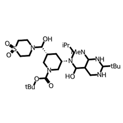 CNC1NC(C(C)(C)C)NCC1C(O)N(CC(C)C)[C@H]1C[C@@H](C(O)N2CCS(=O)(=O)CC2)CN(C(=O)OC(C)(C)C)C1